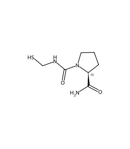 NC(=O)[C@@H]1CCCN1C(=O)NCS